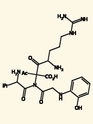 CC(=O)C(C(=O)O)(C(=O)C(N)CCCNC(=N)N)N(C(=O)CNc1ccccc1O)C(=O)C(N)C(C)C